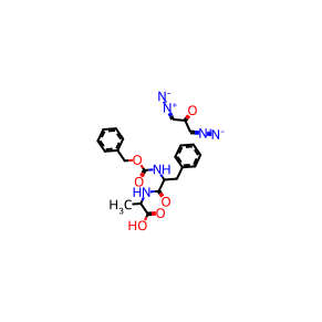 CC(NC(=O)C(Cc1ccccc1)NC(=O)OCc1ccccc1)C(=O)O.[N-]=[N+]=CC(=O)C=[N+]=[N-]